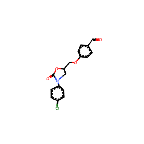 O=Cc1ccc(OCC2CN(c3ccc(Cl)cc3)C(=O)O2)cc1